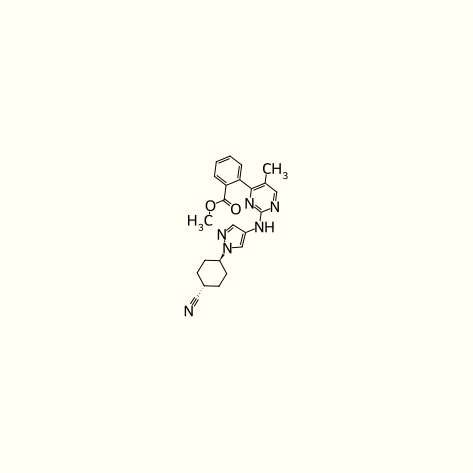 COC(=O)c1ccccc1-c1nc(Nc2cnn([C@H]3CC[C@H](C#N)CC3)c2)ncc1C